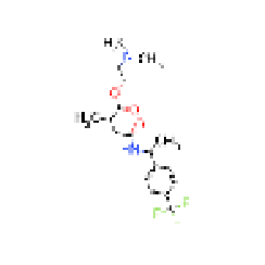 C=C(CC(=O)N[C@@H](C)c1ccc(C(F)(F)F)cc1)C(=O)OCCN(C)C